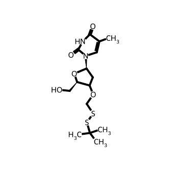 Cc1cn([C@H]2CC(OCSSC(C)(C)C)[C@@H](CO)O2)c(=O)[nH]c1=O